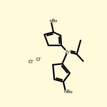 CCCCC1=CC[C]([Zr+2]([C]2=CC(CCCC)=CC2)=[C](C)C)=C1.[Cl-].[Cl-]